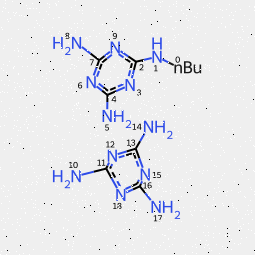 CCCCNc1nc(N)nc(N)n1.Nc1nc(N)nc(N)n1